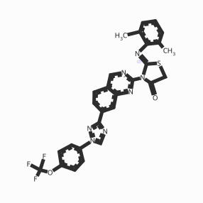 Cc1cccc(C)c1/N=C1\SCC(=O)N1c1ncc2ccc(-c3ncn(-c4ccc(OC(F)(F)F)cc4)n3)cc2n1